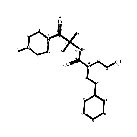 CN1CCN(C(=O)C(C)(C)NC(=O)N(CCO)CCC2CCCCC2)CC1